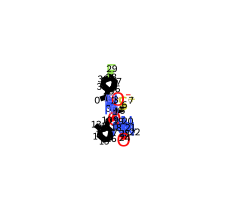 C/C(=N\N=C(/C[S+](C)[O-])OCc1c(C)cccc1-n1nnn(C)c1=O)c1ccc(F)cc1